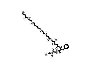 CC(C)CCC(=O)NCCOCCOCCOCCOCCC(=O)NCC(=O)NCC(=O)N[C@@H](Cc1ccccc1)C(=O)NCC(=O)NCC(C)C